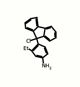 CCc1cc(N)ccc1C1(Cl)c2ccccc2-c2ccccc21